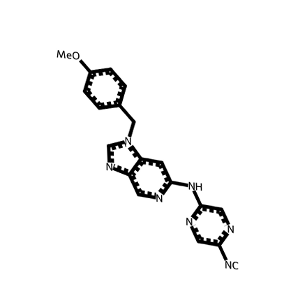 [C-]#[N+]c1cnc(Nc2cc3c(cn2)ncn3Cc2ccc(OC)cc2)cn1